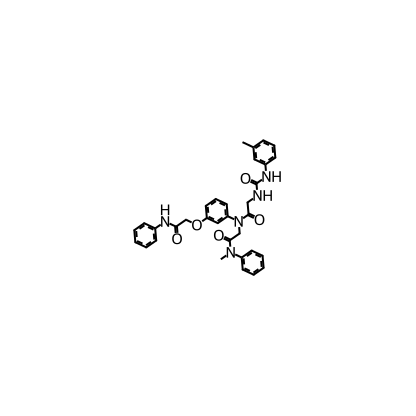 Cc1cccc(NC(=O)NCC(=O)N(CC(=O)N(C)c2ccccc2)c2cccc(OCC(=O)Nc3ccccc3)c2)c1